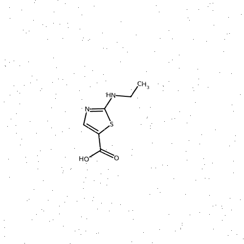 CCNc1ncc(C(=O)O)s1